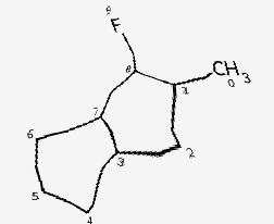 CC1CC2CCCC2C1F